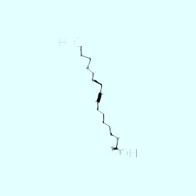 CCCCCCC=CC#CCCCCCCC(=O)O